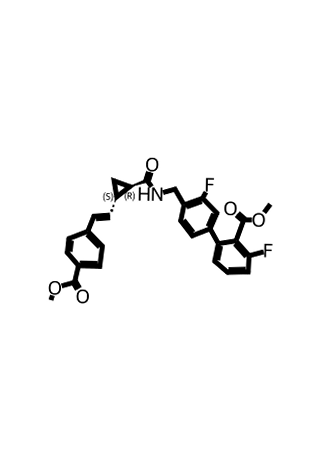 COC(=O)c1ccc(C=C[C@@H]2C[C@H]2C(=O)NCc2ccc(-c3cccc(F)c3C(=O)OC)cc2F)cc1